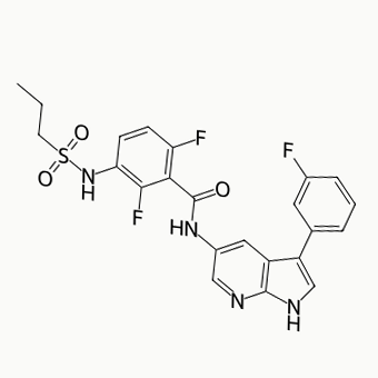 CCCS(=O)(=O)Nc1ccc(F)c(C(=O)Nc2cnc3[nH]cc(-c4cccc(F)c4)c3c2)c1F